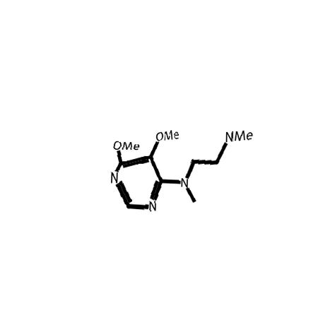 CNCCN(C)c1ncnc(OC)c1OC